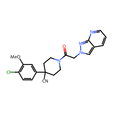 COc1cc(C2(C#N)CCN(C(=O)Cn3cc4cccnc4n3)CC2)ccc1Cl